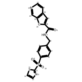 O=C(NCc1ccc(S(=O)(=O)c2nccs2)cc1)c1cc2ccncc2o1